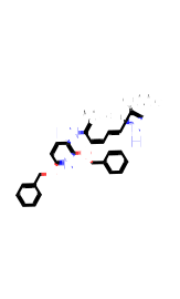 C=C(/C=C\C=C\[C@]1(OC)NC=C1OC)Nc1ccc(OCc2ccccc2)nc1OCc1ccccc1